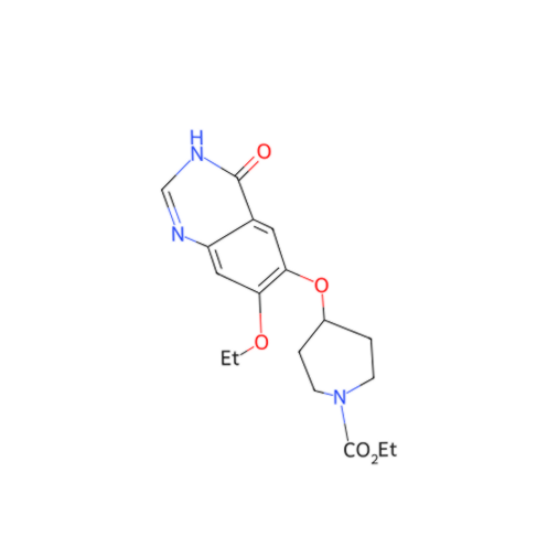 CCOC(=O)N1CCC(Oc2cc3c(=O)[nH]cnc3cc2OCC)CC1